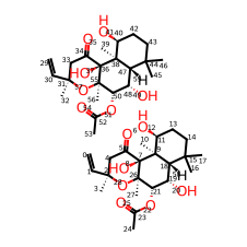 C=C[C@@]1(C)CC(=O)[C@]2(O)[C@@]3(C)[C@@H](O)CCC(C)(C)[C@@H]3[C@H](O)[C@H](OC(C)=O)[C@@]2(C)O1.C=C[C@@]1(C)CC(=O)[C@]2(O)[C@@]3(C)[C@@H](O)CCC(C)(C)[C@@H]3[C@H](O)[C@H](OC(C)=O)[C@@]2(C)O1